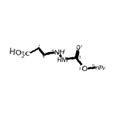 CCCOC(=O)NNCCC(=O)O